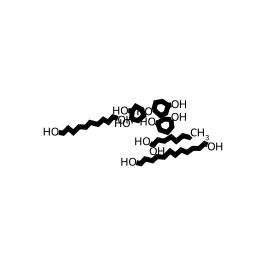 CCCCCCCC(O)O.OC1CCC(O)CC1.OC1CCCC(O)C1.OC1CCCCC1O.OCCCCCCCCCCCCO.OCCCCCCCCCCO